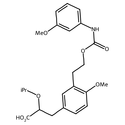 COc1cccc(NC(=O)OCCc2cc(CC(OC(C)C)C(=O)O)ccc2OC)c1